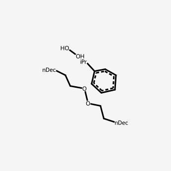 CC(C)c1ccccc1.CCCCCCCCCCCCOOCCCCCCCCCCCC.OO